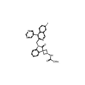 COC(=O)N[C@H]1C[C@]2(C1)C(=O)N(Cc1ncc3cc(F)ccc3c1-c1cncnc1)c1ccccc12